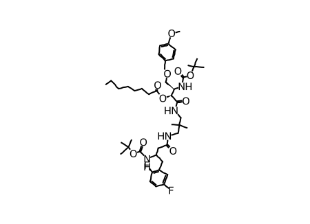 CCCCCCCC(=O)O[C@H](C(=O)NCC(C)(C)CNC(=O)CC(Cc1cc(F)ccc1F)NC(=O)OC(C)(C)C)[C@@H](COCc1ccc(OC)cc1)NC(=O)OC(C)(C)C